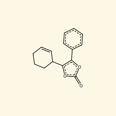 O=c1oc(-c2ccccc2)c(C2C=CCCC2)o1